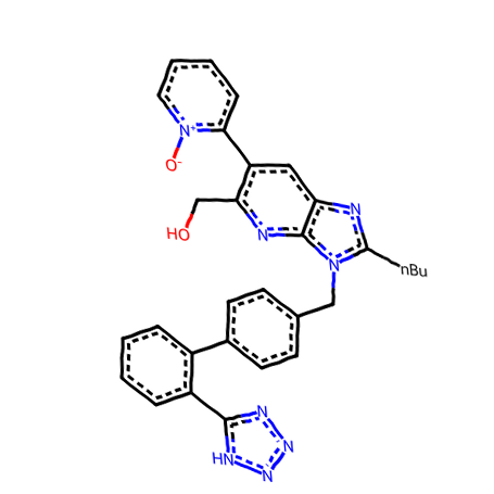 CCCCc1nc2cc(-c3cccc[n+]3[O-])c(CO)nc2n1Cc1ccc(-c2ccccc2-c2nnn[nH]2)cc1